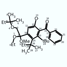 CCOC(COC(C)(C)CC)(OC)c1cc([O])c(C(=O)c2ccccc2)c(C(C)(C)C)c1C(C)(C)CC